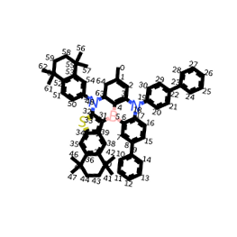 CC1=CC2=C3B(c4cc(-c5ccccc5)ccc4N2c2ccc(-c4ccccc4)cc2)c2c(sc4cc5c(cc24)C(C)(C)CCC5(C)C)N(c2ccc4c(c2)C(C)(C)CCC4(C)C)C3C1